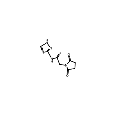 O=C(CN1C(=O)CCC1=O)Nc1nc[nH]n1